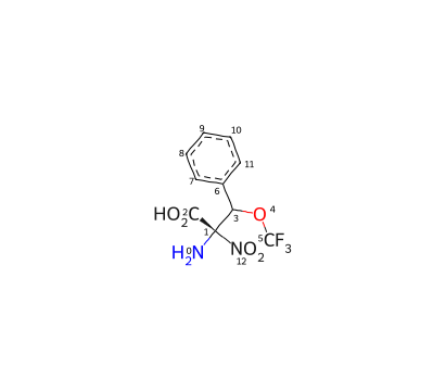 N[C@](C(=O)O)(C(OC(F)(F)F)c1ccccc1)[N+](=O)[O-]